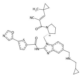 CC1(C=C(C#N)C(=O)N2CCC[C@@H]2Cn2c(NC(=O)c3ccc(-c4cnco4)s3)nc3cc(CNCC4CC4)ccc32)CC1